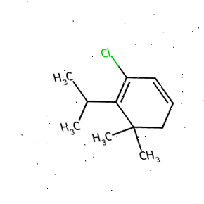 CC(C)C1=C(Cl)C=CCC1(C)C